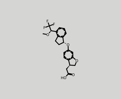 CO[C@H](c1cccc2c1CC[C@H]2Oc1ccc2c(c1)OC[C@H]2CC(=O)O)C(F)(F)F